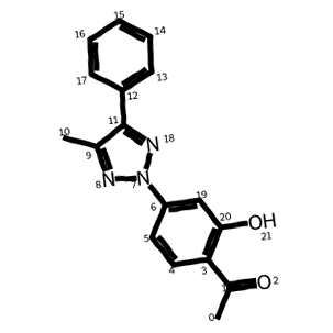 CC(=O)c1ccc(-n2nc(C)c(-c3ccccc3)n2)cc1O